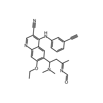 C#Cc1cccc(Nc2c(C#N)cnc3cc(OCC)c(C(CC(C)=NC=O)N(C)C)cc23)c1